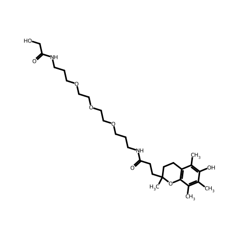 Cc1c(C)c2c(c(C)c1O)CCC(C)(CCC(=O)NCCCOCCOCCOCCCNC(=O)CO)O2